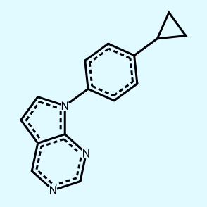 c1ncc2ccn(-c3ccc(C4CC4)cc3)c2n1